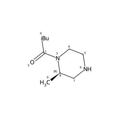 CCC(C)C(=O)N1CCNC[C@H]1C